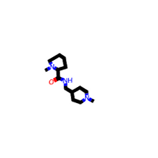 CN1CCC(CNC(=O)C2CCCCN2C)CC1